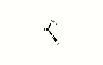 PBB=S